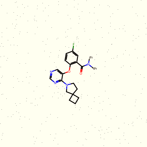 CC(C)N(C(=O)c1cc(F)ccc1Oc1cncnc1N1CCC2(CCC2)C1)C(C)C